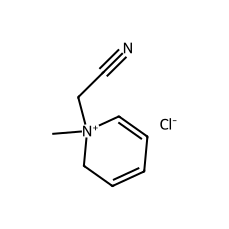 C[N+]1(CC#N)C=CC=CC1.[Cl-]